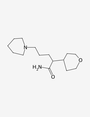 NC(=O)C(CCCN1CCCCC1)C1CCOCC1